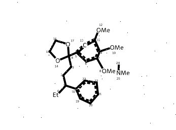 CCC(CCC1(c2cc(OC)c(OC)c(OC)c2)OCCO1)c1ccccc1.CNC